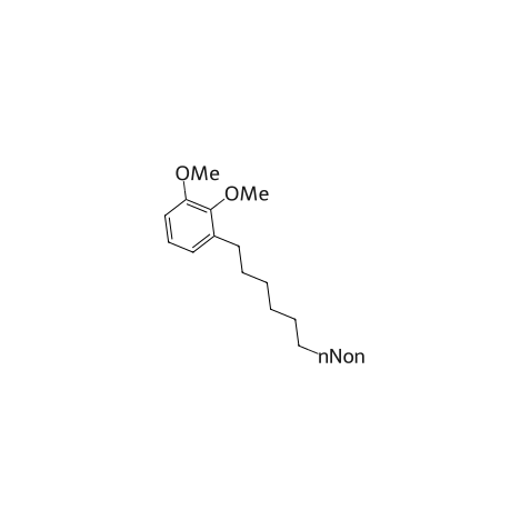 CCCCCCCCCCCCCCCc1cccc(OC)c1OC